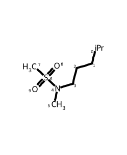 CC(C)CCCN(C)S(C)(=O)=O